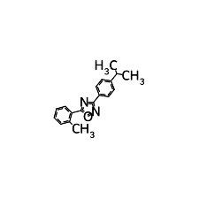 Cc1ccccc1-c1nc(-c2ccc(C(C)C)cc2)no1